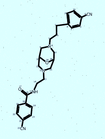 N#Cc1ccc(CCCN2CC3CN(CCNC(=O)c4ccc(C#N)cc4)CC(C2)O3)cc1